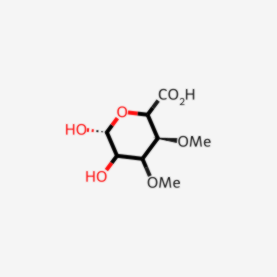 COC1C(O)[C@H](O)OC(C(=O)O)[C@H]1OC